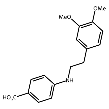 COc1ccc(CCNc2ccc(C(=O)O)cc2)cc1OC